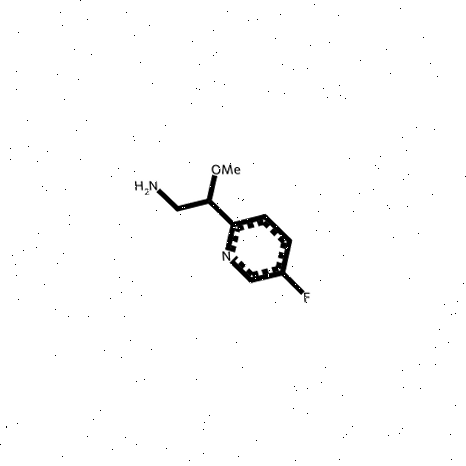 COC(CN)c1ccc(F)cn1